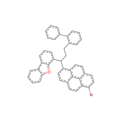 Brc1ccc2ccc3c(C(CCc4ccccc4-c4ccccc4)c4cccc5c4oc4ccccc45)ccc4ccc1c2c43